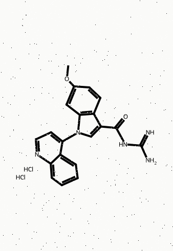 COc1ccc2c(C(=O)NC(=N)N)cn(-c3ccnc4ccccc34)c2c1.Cl.Cl